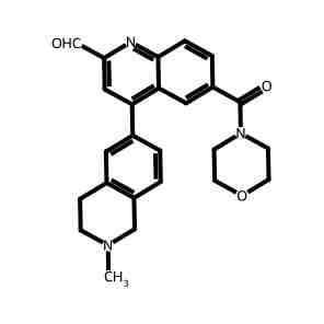 CN1CCc2cc(-c3cc(C=O)nc4ccc(C(=O)N5CCOCC5)cc34)ccc2C1